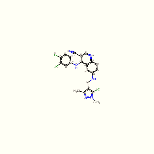 Cc1nn(C)c(Cl)c1CNc1ccc2ncc(C#N)c(Nc3ccc(F)c(Cl)c3)c2c1